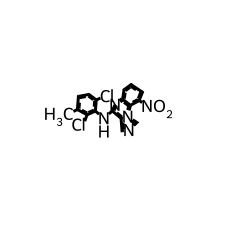 Cc1ccc(Cl)c(Nc2nc3cccc([N+](=O)[O-])c3n3cncc23)c1Cl